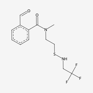 CN(CCSNCC(F)(F)F)C(=O)c1ccccc1C=O